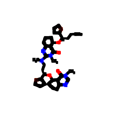 CNCC[C@@H](Oc1cccc2nc(N(C)CC[C@H](Oc3cccc4ncn(C)c(=O)c34)c3cccs3)n(C)c(=O)c12)c1cccs1